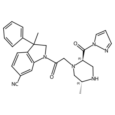 C[C@@H]1CN(CC(=O)N2CC(C)(c3ccccc3)c3ccc(C#N)cc32)[C@@H](C(=O)n2cccn2)CN1